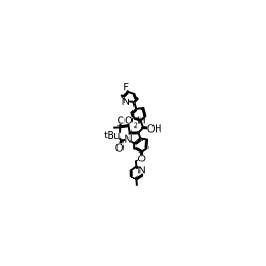 Cc1ccc(COc2ccc3c(C(O)c4ccc(-c5ccc(F)cn5)cc4)c(CC(C)(C)C(=O)O)n(C(=O)C(C)(C)C)c3c2)nc1